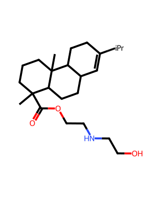 CC(C)C1=CC2CCC3C(C)(C(=O)OCCNCCO)CCCC3(C)C2CC1